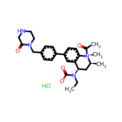 CCN(C(=O)[O-])[C@@H]1C[C@H](C)[N+](C)(C(C)=O)c2ccc(-c3ccc(CN4CCNCC4=O)cc3)cc21.Cl